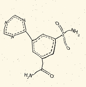 NC(=O)c1cc(-c2ncncn2)cc(S(N)(=O)=O)c1